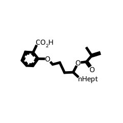 C=C(C)C(=O)OC(CCCCCCC)CCCOc1ccccc1C(=O)O